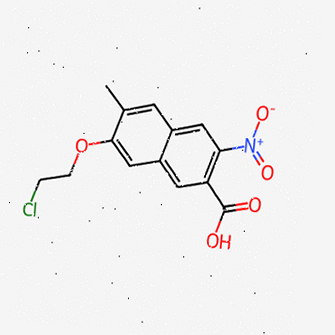 Cc1cc2cc([N+](=O)[O-])c(C(=O)O)cc2cc1OCCCl